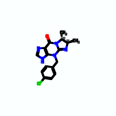 C[C@@H]1[C@@H](C)N=C2N(Cc3ccc(Cl)cc3)c3[nH]cnc3C(=O)N21